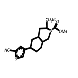 CCOC(=O)C1CC2CC(c3csc(C#N)c3)CCC2CN1C(=O)OC